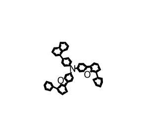 c1ccc(-c2cccc3c2oc2cc(N(c4ccc(-c5cccc6ccccc56)cc4)c4ccc5c(c4)oc4c(-c6ccccc6)cccc45)ccc23)cc1